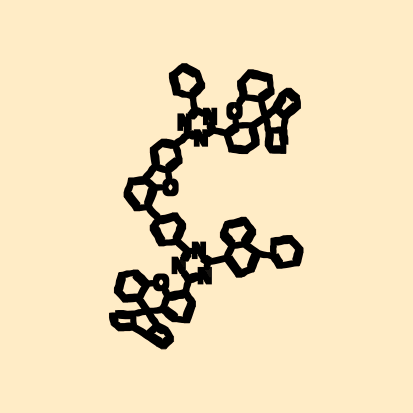 c1ccc(-c2nc(-c3ccc4c(c3)oc3c(-c5ccc(-c6nc(-c7cccc8c7Oc7ccccc7C87c8ccccc8-c8ccccc87)nc(-c7ccc(-c8ccccc8)c8ccccc78)n6)cc5)cccc34)nc(-c3cccc4c3Oc3ccccc3C43c4ccccc4-c4ccccc43)n2)cc1